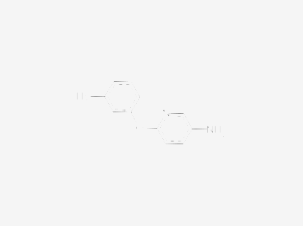 Nc1ccc(Oc2cccc(S)c2)nc1